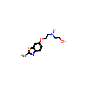 CCN(CCO)CCOc1ccc2nc(C(C)(C)C)sc2c1